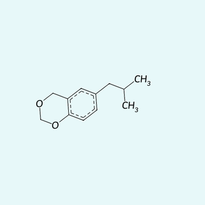 CC(C)Cc1ccc2c(c1)COCO2